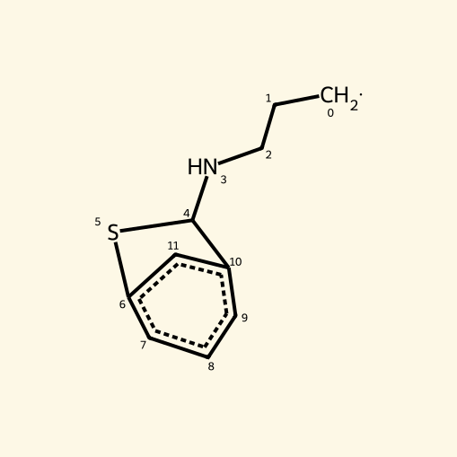 [CH2]CCNC1Sc2cccc1c2